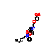 CCCCN(C(=O)O[C@H]1C[N+]2(CCCOc3cccc(O)c3)CCC1CC2)c1ccccc1